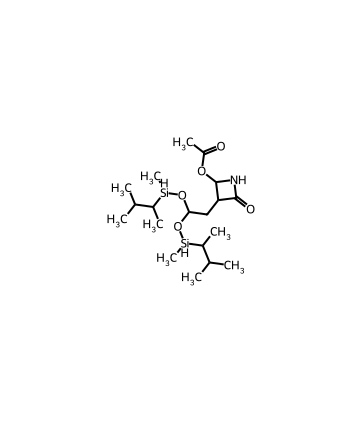 CC(=O)OC1NC(=O)C1CC(O[SiH](C)C(C)C(C)C)O[SiH](C)C(C)C(C)C